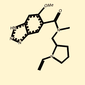 C=CN1CCCC1CN(C)C(=O)c1cc2nn[nH]c2cc1OC